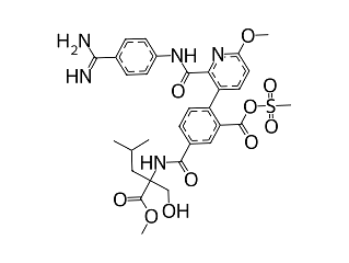 COC(=O)C(CO)(CC(C)C)NC(=O)c1ccc(-c2ccc(OC)nc2C(=O)Nc2ccc(C(=N)N)cc2)c(C(=O)OS(C)(=O)=O)c1